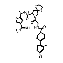 C[C@@H](NC(=O)C1CC2(CN1C(=O)CNC(=O)C1C=CC(c3ccc(Cl)cc3F)=CC1)OCCO2)c1cc(C(=N)N)cs1